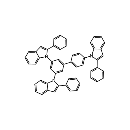 c1ccc(-c2cc3ccccc3n2-c2ccc(-c3cc(-n4c(-c5ccccc5)cc5ccccc54)cc(-n4c(-c5ccccc5)cc5ccccc54)c3)cc2)cc1